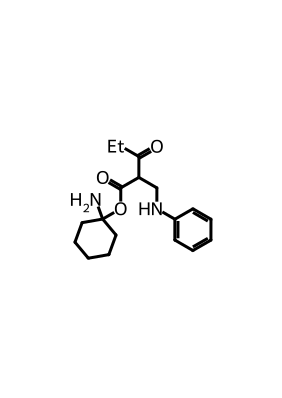 CCC(=O)C(CNc1ccccc1)C(=O)OC1(N)CCCCC1